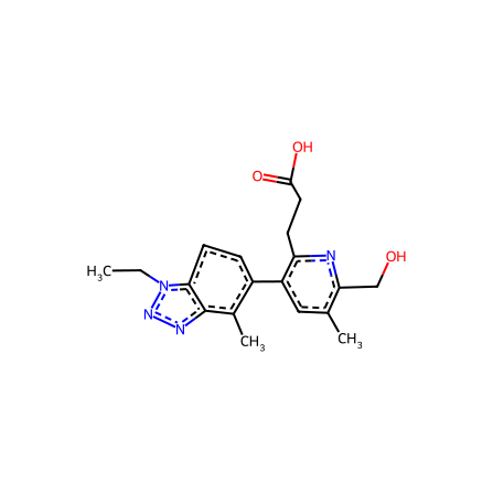 CCn1nnc2c(C)c(-c3cc(C)c(CO)nc3CCC(=O)O)ccc21